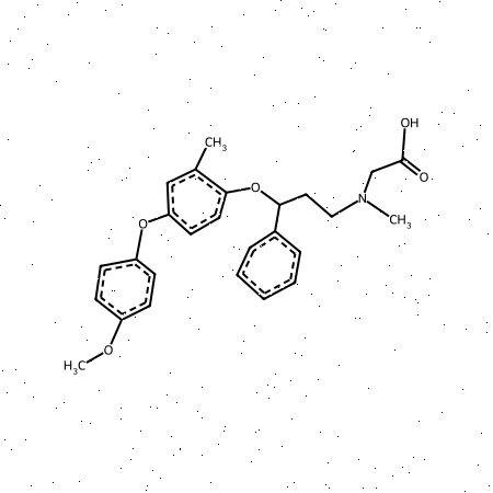 COc1ccc(Oc2ccc(OC(CCN(C)CC(=O)O)c3ccccc3)c(C)c2)cc1